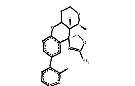 C[C@@H]1OCCC2Oc3ccc(-c4cccnc4F)cc3[C@@]3(COC(N)=N3)[C@H]21